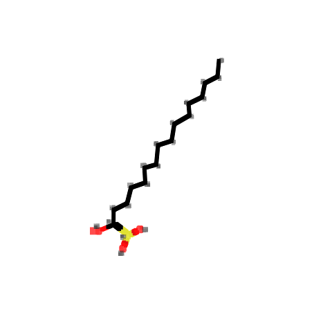 CCCCCCCCCCCCCCCC(O)=S(=O)=O